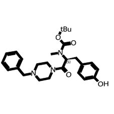 CN(C(=O)OC(C)(C)C)[C@@H](Cc1ccc(O)cc1)C(=O)N1CCN(Cc2ccccc2)CC1